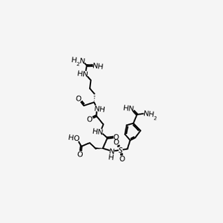 N=C(N)NCCC[C@@H](C=O)NC(=O)CNC(=O)[C@H](CCC(=O)O)NS(=O)(=O)Cc1ccc(C(=N)N)cc1